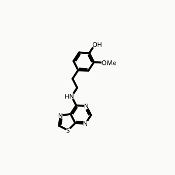 COc1cc(CCNc2ncnc3scnc23)ccc1O